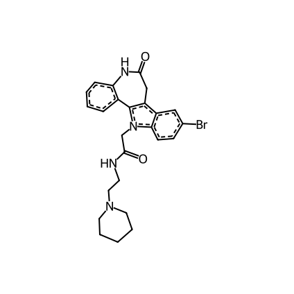 O=C(Cn1c2c(c3cc(Br)ccc31)CC(=O)Nc1ccccc1-2)NCCN1CCCCC1